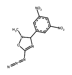 CN1OC(N=[N+]=[N-])=NC1c1cc([N+](=O)[O-])cc([N+](=O)[O-])c1